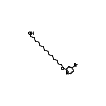 OCCCCCCCCCCCCCCOc1cc(Br)ccn1